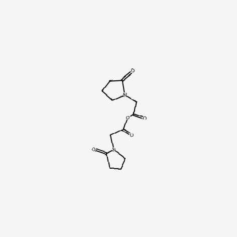 O=C(CN1CCCC1=O)OC(=O)CN1CCCC1=O